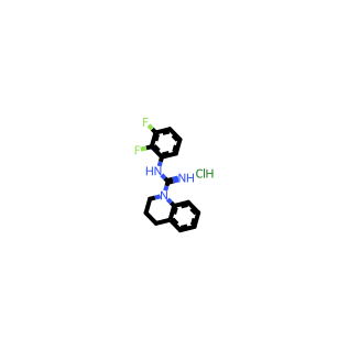 Cl.N=C(Nc1cccc(F)c1F)N1CCCc2ccccc21